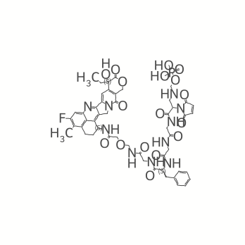 CC[C@@]1(O)C(=O)OCc2c1cc1n(c2=O)Cc2c-1nc1cc(F)c(C)c3c1c2[C@@H](NC(=O)COCNC(=O)CNC(=O)[C@H](Cc1ccccc1)NC(=O)CNC(=O)CNC(=O)C(CNCOP(=O)(O)O)N1C(=O)C=CC1=O)CC3